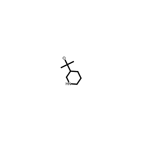 CC(C)([O])C1CCCNC1